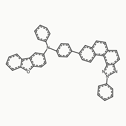 c1ccc(N(c2ccc(-c3ccc4c(ccc5ccc6nn(-c7ccccc7)nc6c54)c3)cc2)c2ccc3oc4ccccc4c3c2)cc1